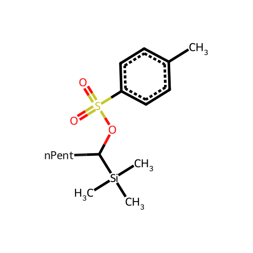 CCCCCC(OS(=O)(=O)c1ccc(C)cc1)[Si](C)(C)C